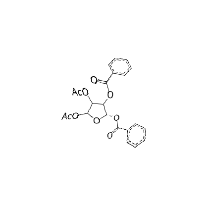 CC(=O)OC1O[C@@H](OC(=O)c2ccccc2)C(OC(=O)c2ccccc2)C1OC(C)=O